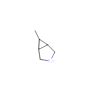 CC1[C]2CNCC21